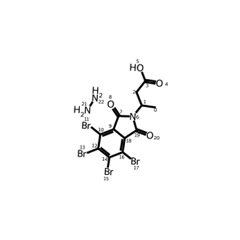 CC(CC(=O)O)N1C(=O)c2c(Br)c(Br)c(Br)c(Br)c2C1=O.NN